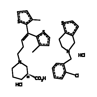 Cc1ccsc1C(=CCCN1CCC[C@@H](C(=O)O)C1)c1sccc1C.Cl.Cl.Clc1ccccc1CN1CCc2sccc2C1